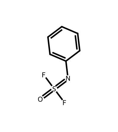 O=S(F)(F)=Nc1ccccc1